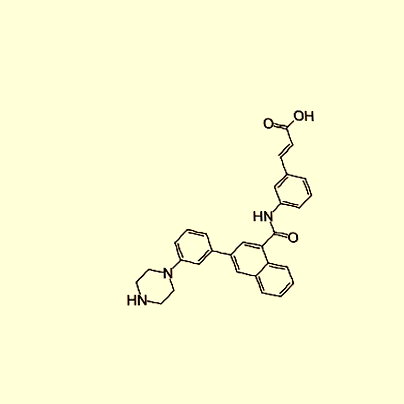 O=C(O)C=Cc1cccc(NC(=O)c2cc(-c3cccc(N4CCNCC4)c3)cc3ccccc23)c1